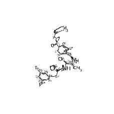 CCOC(=O)c1ccc(N[C@@H](C)C(=O)NC(=O)Cc2cc(F)cc(F)c2)cc1